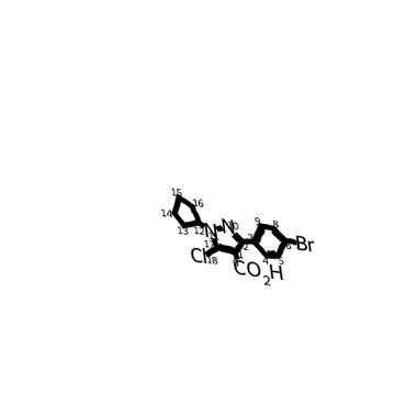 O=C(O)c1c(-c2ccc(Br)cc2)nn(C2CCCC2)c1Cl